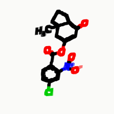 CC12CCCC1C(=O)C=C(OC(=O)c1ccc(Cl)cc1[N+](=O)[O-])C2